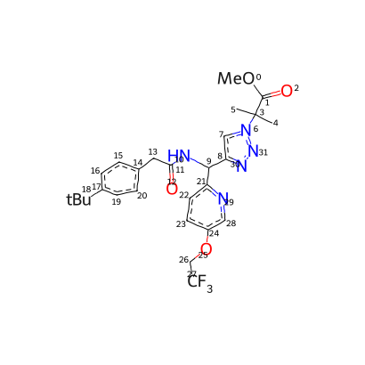 COC(=O)C(C)(C)n1cc(C(NC(=O)Cc2ccc(C(C)(C)C)cc2)c2ccc(OCC(F)(F)F)cn2)nn1